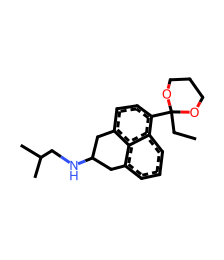 CCC1(c2ccc3c4c(cccc24)CC(NCC(C)C)C3)OCCCO1